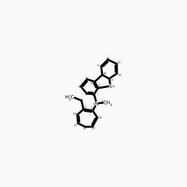 CCC1=C(N(C)c2cccc3c2SC2C=CC=CC32)C=CCC=C1